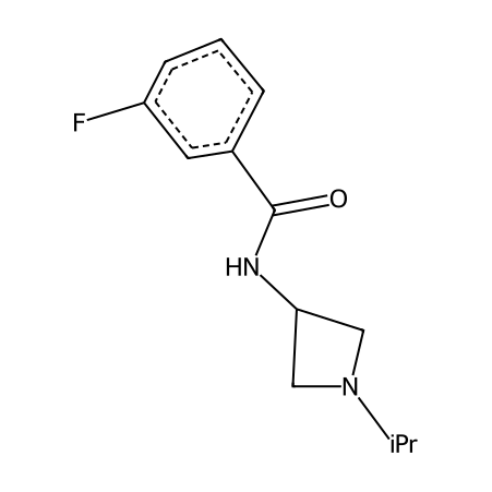 CC(C)N1CC(NC(=O)c2cccc(F)c2)C1